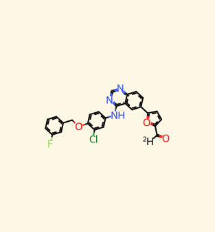 [2H]C(=O)c1ccc(-c2ccc3ncnc(Nc4ccc(OCc5cccc(F)c5)c(Cl)c4)c3c2)o1